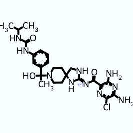 CC(C)NC(=O)Nc1cccc(C(C)(O)N2CCC3(CC2)CN/C(=N\C(=O)c2nc(Cl)c(N)nc2N)N3)c1